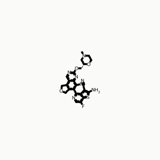 CN1CCO[C@H](COc2ncc3c4c(c(-c5ncc(F)c6sc(N)c(C#N)c56)c(F)c3n2)COC4)C1